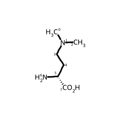 CN(C)CC[C@@H](N)C(=O)O